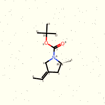 CC=C1C[C@@H](C)N(C(=O)OC(C)(C)C)C1